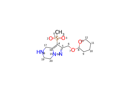 CS(=O)(=O)c1c(COC2CCCCO2)nn2c1CNCC2